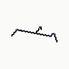 CCCCC/C=C\CC=CCCCCCCCCC(=CCCN(C)C)CCCCCCCC/C=C\C/C=C\CCCCC